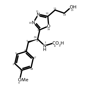 COc1ccc(C[C@H](NC(=O)O)c2nnc(CCO)o2)cc1